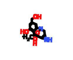 [CH2]C1c2c(O)cc(CO)cc2N2CC3NC3C1(O)O2